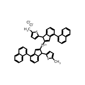 Cc1ccc(C2[C]([Zr+2][C]3=Cc4c(-c5cccc6ccccc56)cccc4C3c3ccc(C)s3)=Cc3c(-c4cccc5ccccc45)cccc32)s1.[Cl-].[Cl-]